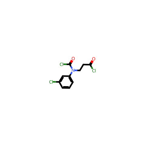 O=C(Cl)CCN(C(=O)Cl)c1cccc(Cl)c1